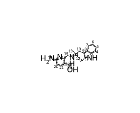 Cc1[nH]c2ccccc2c1CC(C)(C)NCc1nc(N)ccc1CO